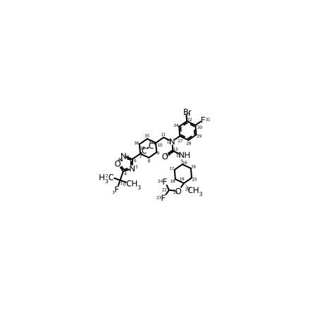 CC(C)(F)c1nc(C23CCC(CN(C(=O)N[C@H]4CC[C@](C)(OC(F)F)CC4)c4ccc(F)c(Br)c4)(CC2)CC3)no1